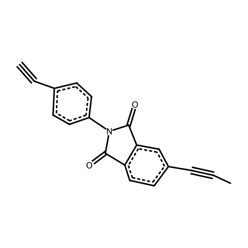 C#Cc1ccc(N2C(=O)c3ccc(C#CC)cc3C2=O)cc1